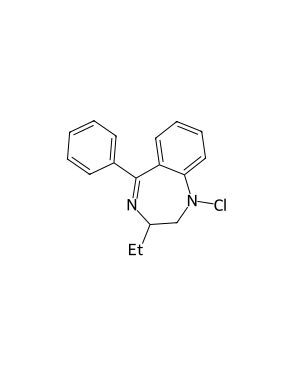 CCC1CN(Cl)c2ccccc2C(c2ccccc2)=N1